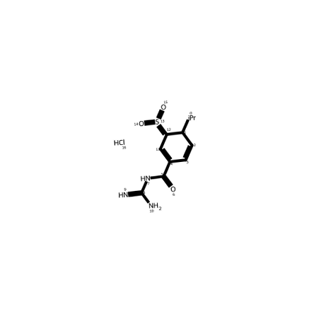 CC(C)C1C=CC(C(=O)NC(=N)N)=CC1=S(=O)=O.Cl